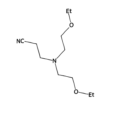 CCOCCN(CCC#N)CCOCC